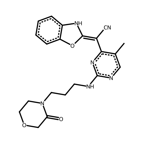 Cc1cnc(NCCCN2CCOCC2=O)nc1/C(C#N)=C1/Nc2ccccc2O1